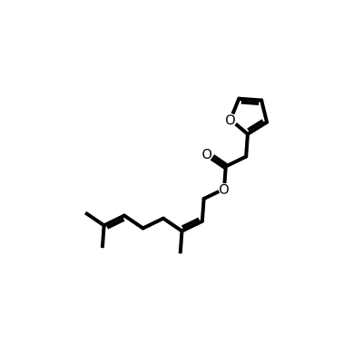 CC(C)=CCCC(C)=CCOC(=O)Cc1ccco1